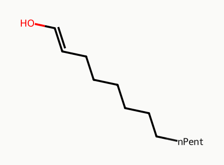 CCCCCCCCCCC/C=C/O